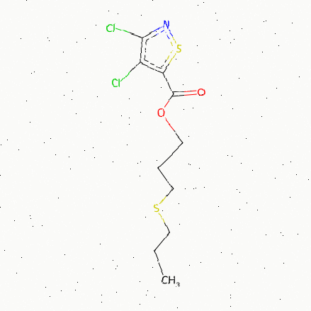 CCCSCCCOC(=O)c1snc(Cl)c1Cl